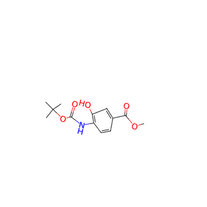 COC(=O)c1ccc(NC(=O)OC(C)(C)C)c(O)c1